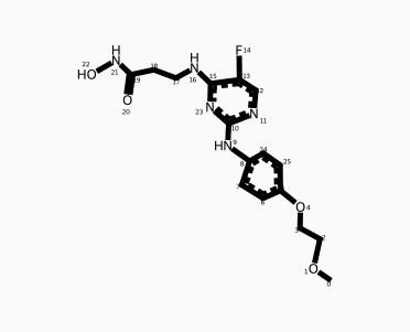 COCCOc1ccc(Nc2ncc(F)c(NCCC(=O)NO)n2)cc1